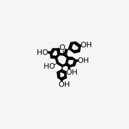 Oc1ccc([C@@H]2c3c(O)cc(O)cc3[C@@H]3c4c(cc(O)cc4[C@H]2O)O[C@H]3c2ccc(O)cc2)cc1